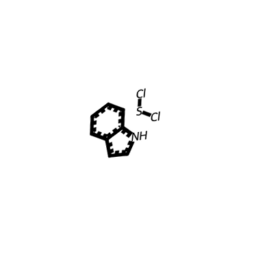 ClSCl.c1ccc2[nH]ccc2c1